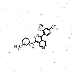 CC(C)Oc1cc(C(F)(F)F)ccc1-c1nnc(N[C@@H]2CCCN(C)C2)c2cnccc12